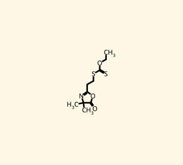 CCOC(=S)SCCC1=NC(C)(C)C(=O)O1